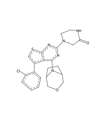 O=C1CN(c2nc(N3C4CCC3COC4)c3c(-c4ccccc4Cl)csc3n2)CCN1